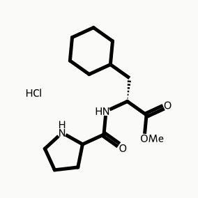 COC(=O)[C@@H](CC1CCCCC1)NC(=O)C1CCCN1.Cl